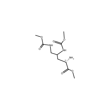 COC(=O)NCC(C[C@H](N)C(=O)OC)NC(=O)OC